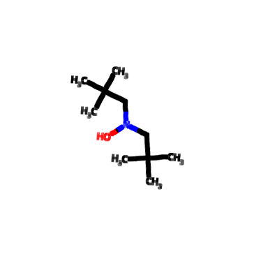 CC(C)(C)CN(O)CC(C)(C)C